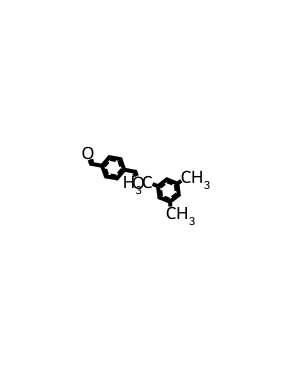 Cc1cc(C)cc(C)c1.O=Cc1ccc(C=O)cc1